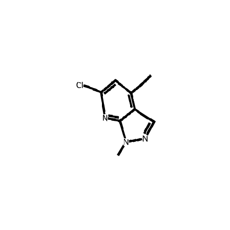 Cc1cc(Cl)nc2c1cnn2C